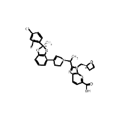 CC(c1nc2ccc(C(=O)O)nc2n1C[C@@H]1CCO1)N1CC=C(c2cccc3c2O[C@](C)(c2ccc(Cl)cc2F)O3)CC1